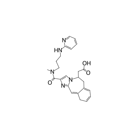 CN(CCCNc1ccccn1)C(=O)c1cn2c(n1)C=C1CC=CC=C1CC2CC(=O)O